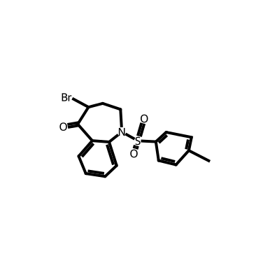 Cc1ccc(S(=O)(=O)N2CCC(Br)C(=O)c3ccccc32)cc1